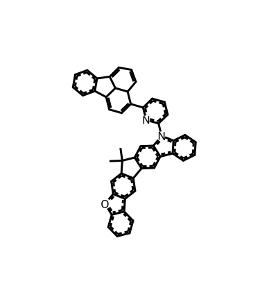 CC1(C)c2cc3oc4ccccc4c3cc2-c2cc3c4ccccc4n(-c4cccc(C5=CC=C6c7ccccc7C7=CC=CC5C76)n4)c3cc21